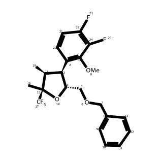 COc1c([C@H]2[C@H](COCc3ccccc3)O[C@@](C)(C(F)(F)F)[C@H]2C)ccc(F)c1F